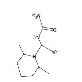 CCCC(NC(N)=O)N1C(C)CCCC1C